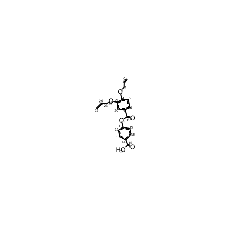 C=CCOc1ccc(C(=O)Oc2ccc(C(=O)O)cc2)cc1OCC=C